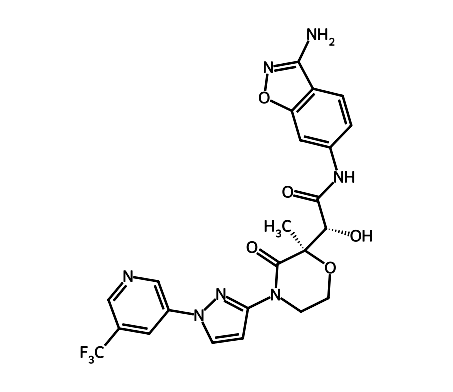 C[C@]1([C@@H](O)C(=O)Nc2ccc3c(N)noc3c2)OCCN(c2ccn(-c3cncc(C(F)(F)F)c3)n2)C1=O